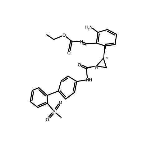 CCOC(=O)N=Cc1c(N)cccc1[C@H]1C[C@H]1C(=O)Nc1ccc(-c2ccccc2S(C)(=O)=O)cc1